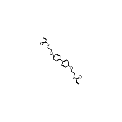 C=CC(=O)SCCOc1ccc(-c2ccc(OCCSC(=O)C=C)cc2)cc1